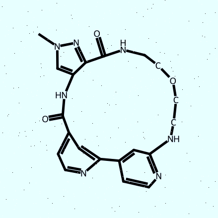 Cn1cc2c(n1)C(=O)NCCOCCNc1cc(ccn1)-c1cc(ccn1)C(=O)N2